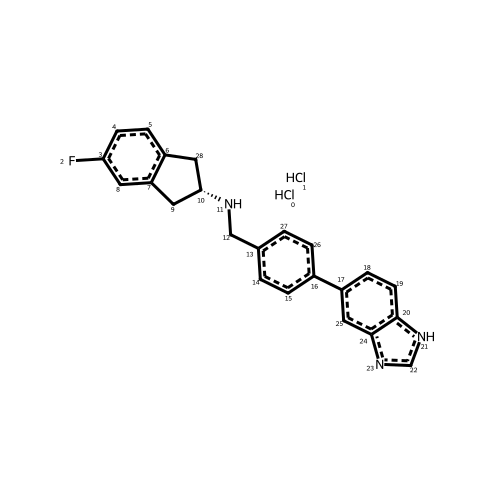 Cl.Cl.Fc1ccc2c(c1)C[C@@H](NCc1ccc(-c3ccc4[nH]cnc4c3)cc1)C2